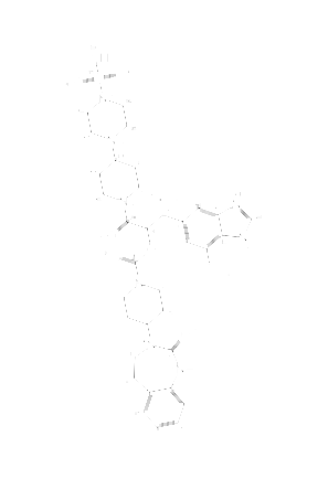 Cc1cc([C@@H](C)C(OC(=O)N2CCC(N3CCc4ccccc4NC3=O)CC2)C(=O)N2CCC(N3CCN(S(C)(=O)=O)CC3)CC2)cc2nc[nH]c12